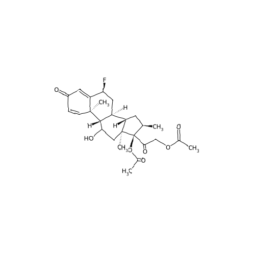 CC(=O)OCC(=O)[C@@]1(OC(C)=O)[C@H](C)C[C@H]2[C@@H]3C[C@H](F)C4=CC(=O)C=C[C@]4(C)[C@H]3C(O)C[C@@]21C